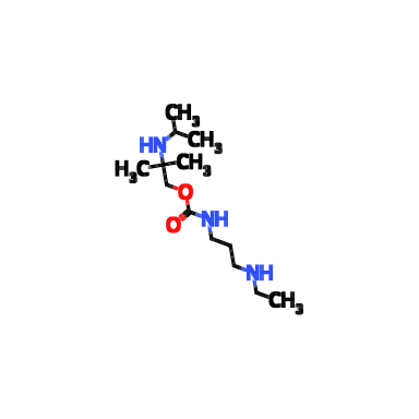 CCNCCCNC(=O)OCC(C)(C)NC(C)C